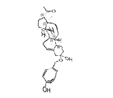 CC(=O)[C@H]1CC[C@H]2[C@@H]3CC=C4CC(O)(OCc5ccc(O)cc5)CC[C@]4(C)[C@H]3CC[C@]12C